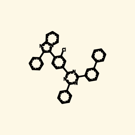 Clc1cc(-c2nc(-c3ccccc3)nc(-c3cccc(-c4ccccc4)c3)n2)ccc1-c1c(-c2ccccc2)nc2ccccn12